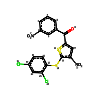 O=C(c1cccc([N+](=O)[O-])c1)c1cc([N+](=O)[O-])c(Sc2ccc(Cl)cc2Cl)s1